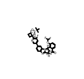 C[C@@H]1CC[C@@]1(N[S+]([O-])C(C)(C)C)c1ncc(-c2ccc3nc4n(c3c2)[C@H]2C[C@H]4NC(=O)c3cccc(OC(F)F)c32)cc1F